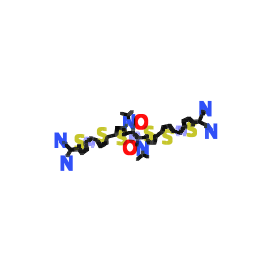 CC(C)N1C(=O)/C(=C2/C(=O)N(C(C)C)c3cc(-c4ccc(/C=c5\ccc(=C(C#N)C#N)s5)s4)sc32)c2sc(-c3ccc(/C=c4\ccc(=C(C#N)C#N)s4)s3)cc21